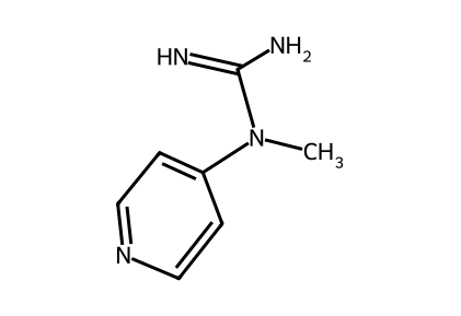 CN(C(=N)N)c1ccncc1